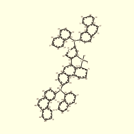 C[Si]1(C)c2cc(N(c3ccc4ccc5ccccc5c4c3)c3cccc4ccccc34)ccc2-c2cc3ccc(N(c4ccc5ccc6ccccc6c5c4)c4cccc5ccccc45)cc3c3cccc1c23